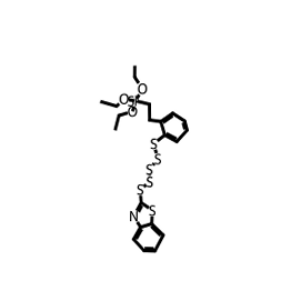 CCO[Si](CCc1ccccc1SSSSSc1nc2ccccc2s1)(OCC)OCC